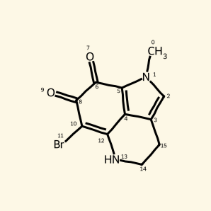 Cn1cc2c3c1C(=O)C(=O)C(Br)=C3NCC2